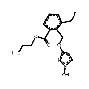 CCCOC(=O)c1cccc(CF)c1COc1ccn(O)n1